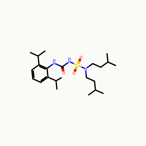 CC(C)CCN(CCC(C)C)S(=O)(=O)NC(=O)Nc1c(C(C)C)cccc1C(C)C